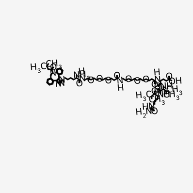 CC(C)CC(=O)N1Cc2ccccc2-c2nnn(CCCCC(N)C(=O)NCCOCCOCCOCCC(=O)NCCOCCOCCOCCC(=O)NC(CCC(=O)O)C(=O)NC(C(=O)NC(CCCNC(N)=O)C(=O)C(C)C)C(C)C)c2-c2ccccc21